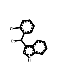 [CH2]CC(c1ccccc1Cl)c1c[nH]c2ccccc12